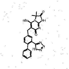 CCCCc1c(Cc2ccc(-c3ccccc3)c(-c3nnn[nH]3)c2)c(=O)nc2n1C(C)(C)C(=O)N2